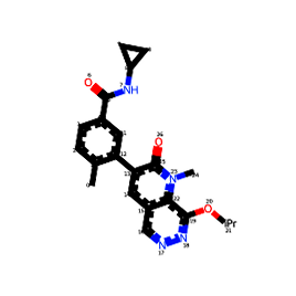 Cc1ccc(C(=O)NC2CC2)cc1-c1cc2cnnc(OC(C)C)c2n(C)c1=O